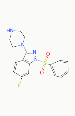 O=S(=O)(c1ccccc1)n1nc(N2CCNCC2)c2ccc(F)cc21